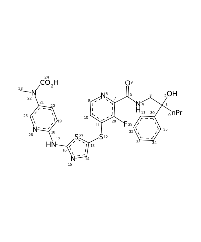 CCCC(O)(CNC(=O)c1nccc(Sc2cnc(Nc3ccc(N(C)C(=O)O)cn3)s2)c1F)c1ccccc1